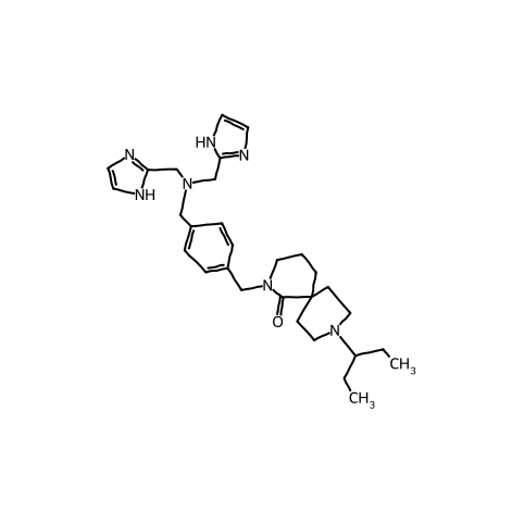 CCC(CC)N1CCC2(CCCN(Cc3ccc(CN(Cc4ncc[nH]4)Cc4ncc[nH]4)cc3)C2=O)CC1